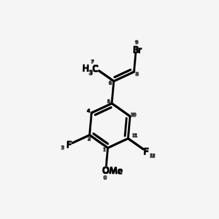 COc1c(F)cc(/C(C)=C/Br)cc1F